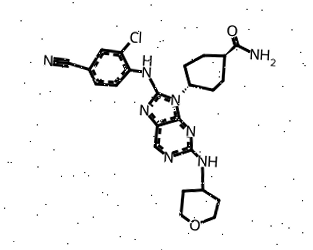 N#Cc1ccc(Nc2nc3cnc(NC4CCOCC4)nc3n2[C@H]2CC[C@H](C(N)=O)CC2)c(Cl)c1